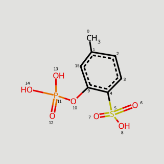 Cc1ccc(S(=O)(=O)O)c(OP(=O)(O)O)c1